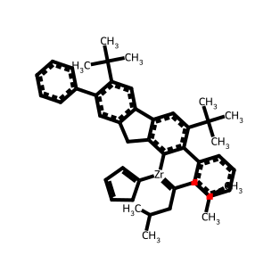 CC(C)C[C](CC(C)C)=[Zr]([C]1=CC=CC1)[c]1c2c(cc(C(C)(C)C)c1-c1ccccc1)-c1cc(C(C)(C)C)c(-c3ccccc3)cc1C2